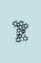 c1ccc(-c2nc(-c3ccc4c(c3)C3(c5ccccc5-c5ccccc53)c3cccc5c6ccccc6n-4c35)nc3ccccc23)cc1